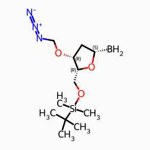 B[C@H]1C[C@@H](OCN=[N+]=[N-])[C@@H](CO[Si](C)(C)C(C)(C)C)O1